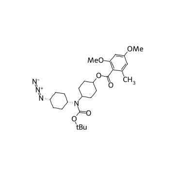 COc1cc(C)c(C(=O)OC2CCC(N(C(=O)OC(C)(C)C)[C@H]3CC[C@@H](N=[N+]=[N-])CC3)CC2)c(OC)c1